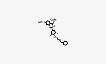 COc1cc(OC)c2c(=O)[nH]c(-c3cc(C)c(OCCOCc4ccccc4)c(C)c3)nc2c1